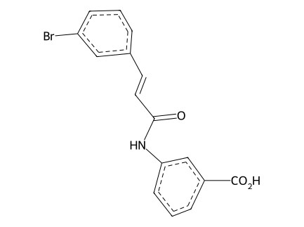 O=C(C=Cc1cccc(Br)c1)Nc1cccc(C(=O)O)c1